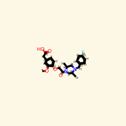 COc1cc(CC(=O)O)ccc1OCC(=O)N1CC(C)N(Cc2ccc(F)cc2)CC1C